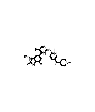 Cc1nc2c(F)cc(-c3nc(Nc4ccc([C@@H](C)C5CCN(C)CC5)cn4)ncc3F)cc2n1C(C)C